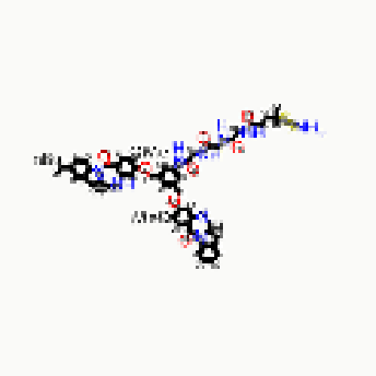 CCCC[C@H](C)c1ccc2c(c1)C[C@H]1CNc3cc(OCc4cc(COc5cc6c(cc5OC)C(=O)N5c7ccccc7C[C@H]5C=N6)cc(NC(=O)CNC(=O)CNC(=O)CNC(=O)CCC(C)(C)SSN)c4)c(OC)cc3C(=O)N21